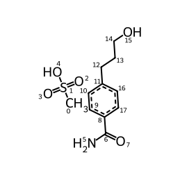 CS(=O)(=O)O.NC(=O)c1ccc(CCCO)cc1